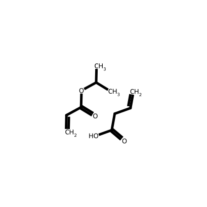 C=CC(=O)OC(C)C.C=CCC(=O)O